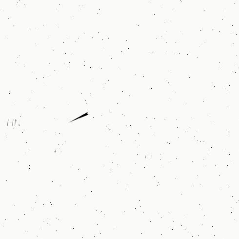 CCOc1ccccc1SC(c1ccccc1)[C@@H]1CNCCO1